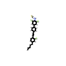 C/C=C/CCc1ccc(C#Cc2ccc(-c3cc(F)c(N=C=S)c(F)c3)cc2)c(F)c1